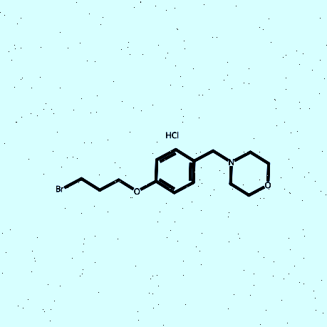 BrCCCOc1ccc(CN2CCOCC2)cc1.Cl